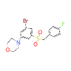 O=S(=O)(Cc1ccc(F)cc1)c1cc(Br)cc(N2CCOCC2)c1